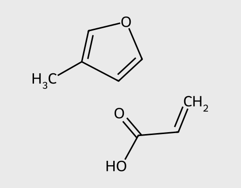 C=CC(=O)O.Cc1ccoc1